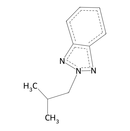 CC(C)Cn1nc2ccccc2n1